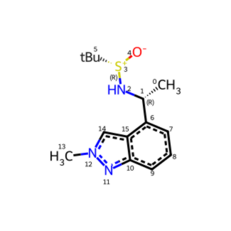 C[C@@H](N[S@@+]([O-])C(C)(C)C)c1cccc2nn(C)cc12